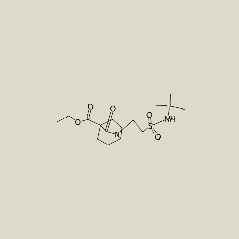 CCOC(=O)C12CCC(CC1)N(CCS(=O)(=O)NC(C)(C)C)C2=O